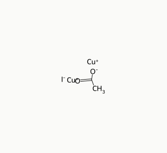 CC(=O)[O-].[Cu+].[Cu+].[I-]